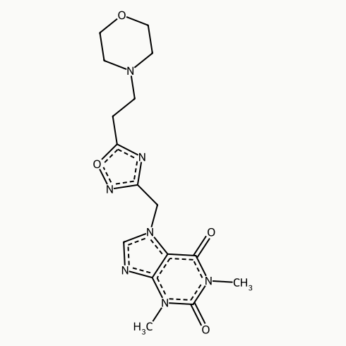 Cn1c(=O)c2c(ncn2Cc2noc(CCN3CCOCC3)n2)n(C)c1=O